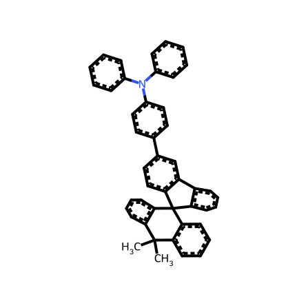 CC1(C)c2ccccc2C2(c3ccccc3-c3cc(-c4ccc(N(c5ccccc5)c5ccccc5)cc4)ccc32)c2ccccc21